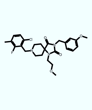 COCCN1C(=O)N(Cc2cccc(OC)c2)C(=O)C12CCN(Cc1c(Cl)ccc(C)c1F)CC2